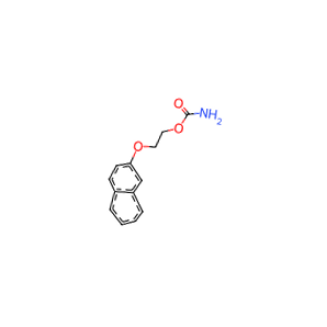 NC(=O)OCCOc1ccc2ccccc2c1